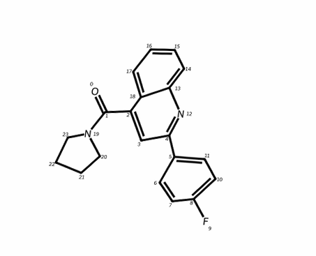 O=C(c1cc(-c2ccc(F)cc2)nc2ccccc12)N1CCCC1